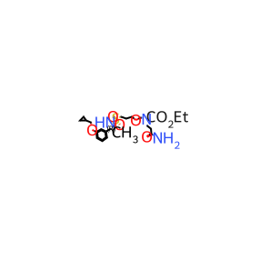 CCOC(=O)N(CCC(N)=O)COCCCS(=O)(=O)N[C@H](C)c1cccc(OCC2CC2)c1